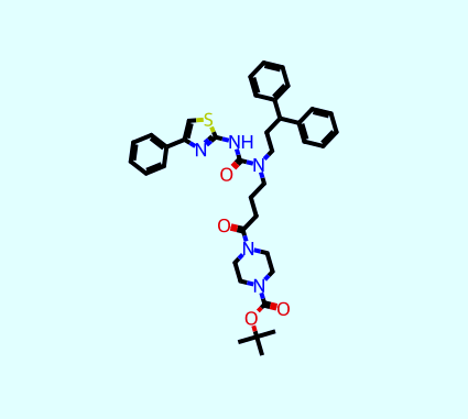 CC(C)(C)OC(=O)N1CCN(C(=O)CCCN(CCC(c2ccccc2)c2ccccc2)C(=O)Nc2nc(-c3ccccc3)cs2)CC1